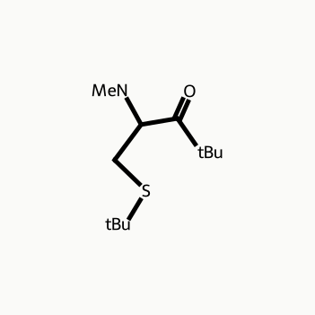 CNC(CSC(C)(C)C)C(=O)C(C)(C)C